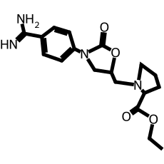 CCOC(=O)C1CCCN1CC1CN(c2ccc(C(=N)N)cc2)C(=O)O1